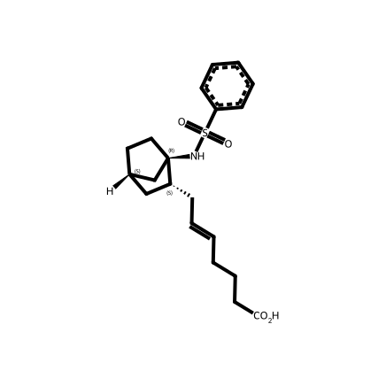 O=C(O)CCCC=CC[C@@H]1C[C@@H]2CC[C@@]1(NS(=O)(=O)c1ccccc1)C2